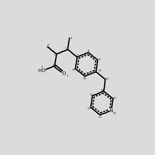 CC(C(=O)O)C(C)c1ccc(Cc2cccnc2)cc1